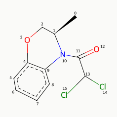 C[C@@H]1COc2ccccc2N1C(=O)C(Cl)Cl